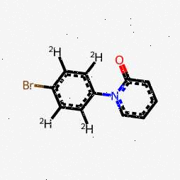 [2H]c1c([2H])c(-n2ccccc2=O)c([2H])c([2H])c1Br